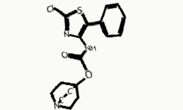 O=C(Nc1nc(Cl)sc1-c1ccccc1)OC12CCN(CC1)CC2